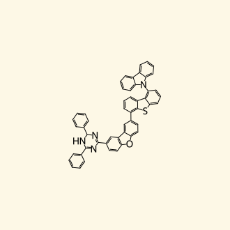 c1ccc(C2=NC(c3ccc4oc5ccc(-c6cccc7c6sc6cccc(-n8c9ccccc9c9ccccc98)c67)cc5c4c3)=NC(c3ccccc3)N2)cc1